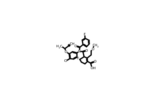 C#CC(C)Oc1cc(N(C(=O)c2cccc(F)c2)C(=O)C2CCCC(C(=O)O)=C2CCOC)c(F)cc1Cl